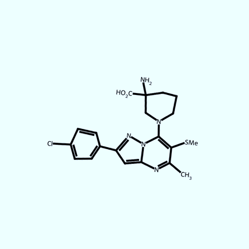 CSc1c(C)nc2cc(-c3ccc(Cl)cc3)nn2c1N1CCCC(N)(C(=O)O)C1